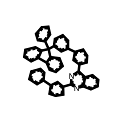 c1ccc(-c2cccc(-c3nc(-c4cccc(-c5cccc(C6(c7ccccc7)c7ccccc7-c7ccccc76)c5)c4)c4ccccc4n3)c2)cc1